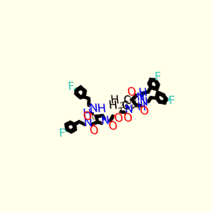 C[C@@H](C(=O)NCCc1ccc(F)cc1)[C@@H](CN(C)C(=O)COCC(=O)N1CC(C(=O)NCCc2ccc(F)cc2)[C@H](C(=O)NCCc2ccc(F)cc2)C1)C(=O)NCCc1ccc(F)cc1